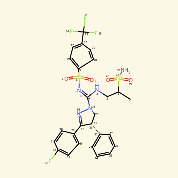 CC(CN/C(=N\S(=O)(=O)c1ccc(C(F)(F)F)cc1)N1C[C@H](c2ccccc2)C(c2ccc(F)cc2)=N1)S(N)(=O)=O